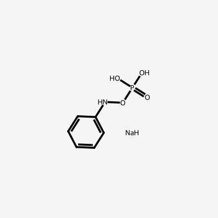 O=P(O)(O)ONc1ccccc1.[NaH]